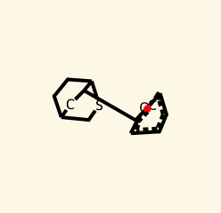 c1cc2c(C3CC4CCC3SC4)cc1CO2